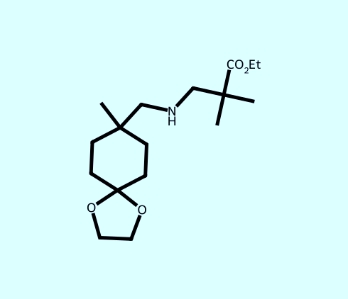 CCOC(=O)C(C)(C)CNCC1(C)CCC2(CC1)OCCO2